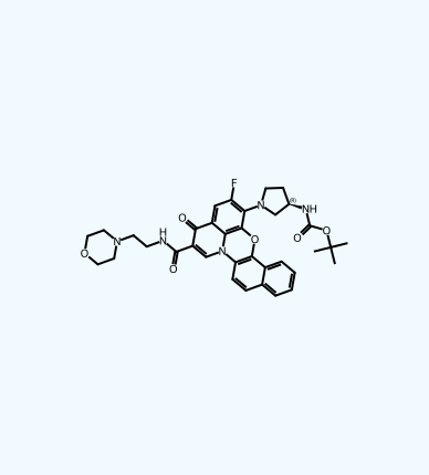 CC(C)(C)OC(=O)N[C@@H]1CCN(c2c(F)cc3c(=O)c(C(=O)NCCN4CCOCC4)cn4c3c2Oc2c-4ccc3ccccc23)C1